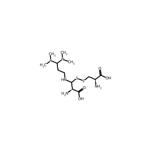 CN(C)C(CCNC(SSC[C@H](N)C(=O)O)[C@H](N)C(=O)O)N(C)C